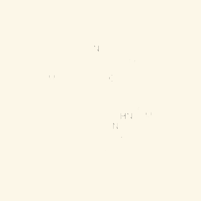 CN(C)C1(CNC(=O)c2ccc(OC3CCN(Cc4ccc5oc6ccccc6c5c4)CC3)c(Cl)c2)CCCCC1